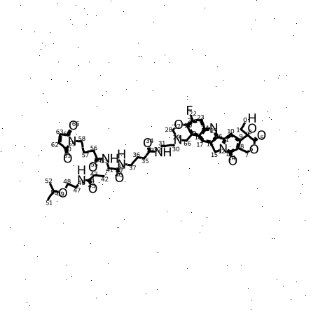 CC[C@@]1(O)C(=O)OCc2c1cc1n(c2=O)Cc2cc3c4c(c(F)cc3nc2-1)OCN(CCNC(=O)CCCNC(=O)[C@H](CCC(=O)NCCOC(C)C)NC(=O)CCCN1C(=O)C=CC1=O)C4